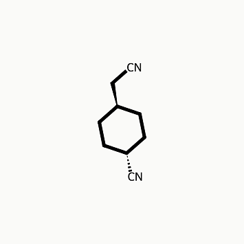 N#CC[C@H]1CC[C@H](C#N)CC1